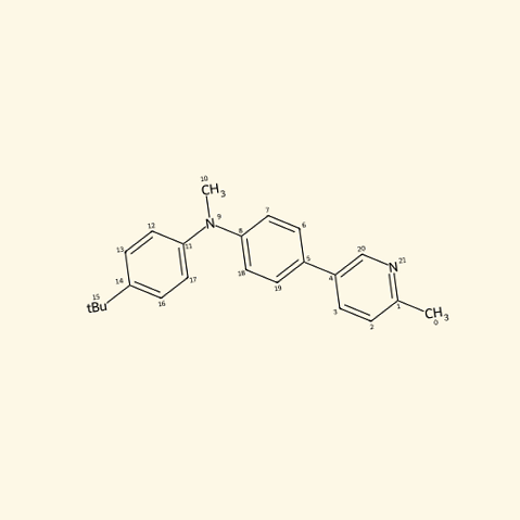 Cc1ccc(-c2ccc(N(C)c3ccc(C(C)(C)C)cc3)cc2)cn1